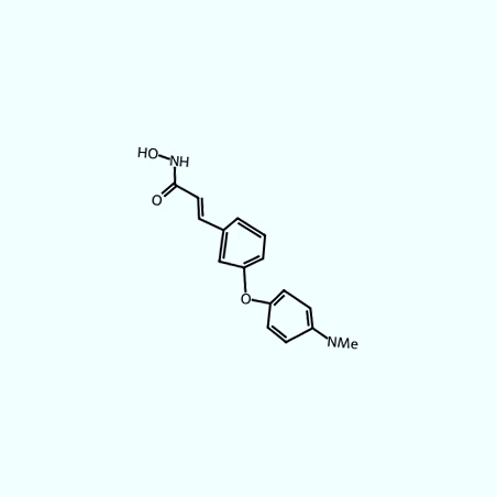 CNc1ccc(Oc2cccc(/C=C/C(=O)NO)c2)cc1